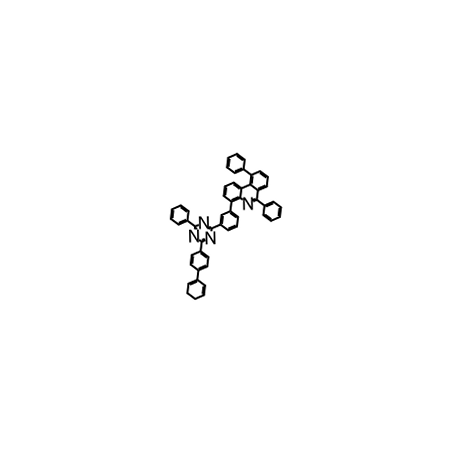 C1=CC(c2ccc(-c3nc(-c4ccccc4)nc(-c4cccc(-c5cccc6c5nc(-c5ccccc5)c5cccc(-c7ccccc7)c56)c4)n3)cc2)=CCC1